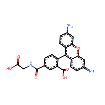 N=c1ccc2c(-c3ccc(C(=O)NCC(=O)O)cc3C(=O)O)c3ccc(N)cc3oc-2c1